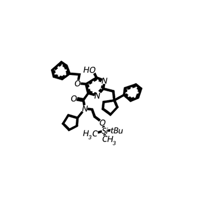 CC(C)(C)[Si](C)(C)OCCN(C(=O)c1nc(CC2(c3ccccc3)CCCC2)nc(O)c1OCc1ccccc1)C1CCCC1